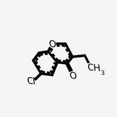 CCc1coc2ccc(Cl)cc2c1=O